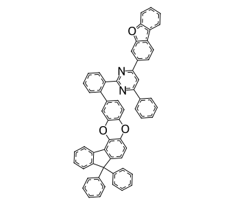 c1ccc(-c2cc(-c3ccc4c(c3)oc3ccccc34)nc(-c3ccccc3-c3ccc4c(c3)Oc3c(ccc5c3-c3ccccc3C5(c3ccccc3)c3ccccc3)O4)n2)cc1